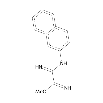 COC(=N)C(=N)Nc1ccc2ccccc2c1